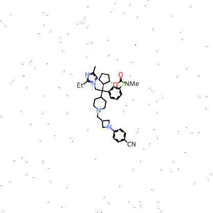 CCc1nc(C)cn1CC(c1cccc(F)c1)(C1CCN(CC2CN(c3ccc(C#N)cc3)C2)CC1)[C@H]1CCC[C@@H]1OC(=O)NC